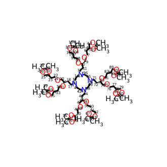 CC1(C)OCC(CCOC[C@@H](CCN2CCN(CC[C@H](COCCC3COC(C)(C)O3)OCCC3COC(C)(C)O3)CCN(CC[C@H](COCC[C@@H]3COC(C)(C)O3)OCC[C@@H]3COC(C)(C)O3)CCN(CC[C@H](COCCC3COC(C)(C)O3)OCCC3COC(C)(C)O3)CC2)OCCC2COC(C)(C)O2)O1